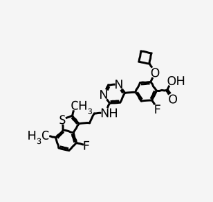 Cc1sc2c(C)ccc(F)c2c1CCNc1cc(-c2cc(F)c(C(=O)O)c(OC3CCC3)c2)ncn1